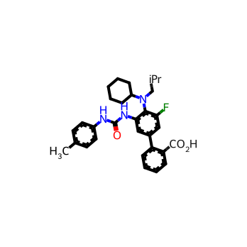 Cc1ccc(NC(=O)Nc2cc(-c3ccccc3C(=O)O)cc(F)c2N(CC(C)C)C2CCCCC2)cc1